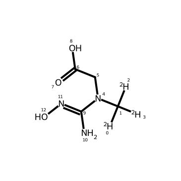 [2H]C([2H])([2H])N(CC(=O)O)C(N)=NO